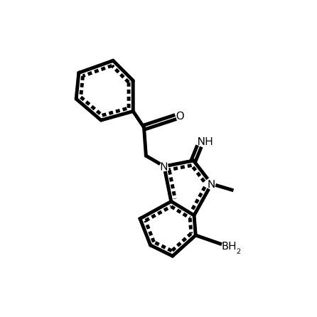 Bc1cccc2c1n(C)c(=N)n2CC(=O)c1ccccc1